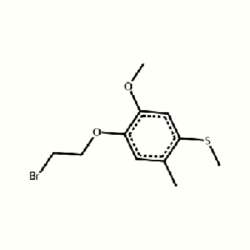 COc1cc(SC)c(C)cc1OCCBr